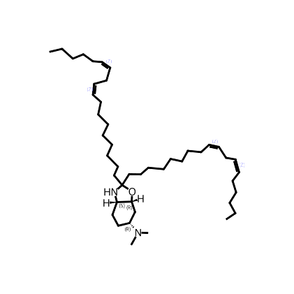 CCCCC/C=C\C/C=C\CCCCCCCCC1(CCCCCCCC/C=C\C/C=C\CCCCC)N[C@H]2CC[C@@H](N(C)C)C[C@H]2O1